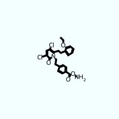 CCOc1ccccc1CCc1c(Cl)cc(Cl)c(=O)n1CCc1ccc(C(=O)ON)cc1